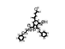 CO/C(C)=C/C=C(\C)C1C/C(=N\O)c2c(SCc3ccccc3)sc(C(=O)NCCOc3ccccc3)c2C1